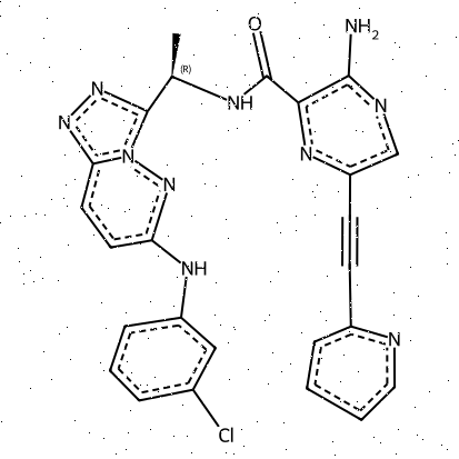 C[C@@H](NC(=O)c1nc(C#Cc2ccccn2)cnc1N)c1nnc2ccc(Nc3cccc(Cl)c3)nn12